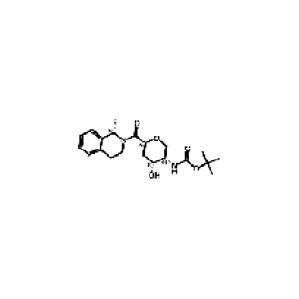 C[C@H]1c2ccccc2CCN1C(=O)[C@@H]1C[C@@H](O)[C@@H](NC(=O)OC(C)(C)C)CO1